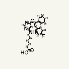 O=C(O)CCCCCNc1ncnc2oc(-c3ccccc3)c(-c3ccc(F)cc3)c12